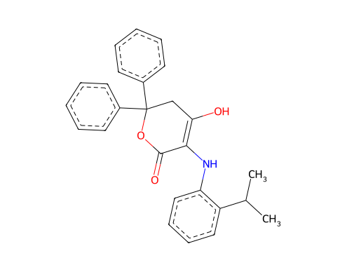 CC(C)c1ccccc1NC1=C(O)CC(c2ccccc2)(c2ccccc2)OC1=O